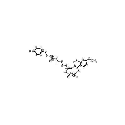 COc1ccc2c(c1)CCC1C2CC[C@]2(C)C(=O)C[C@@H](CCCCCC(=O)NCCc3ccc(O)cc3)C12